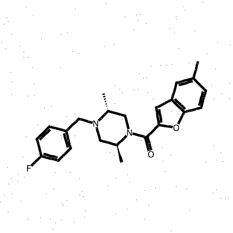 Cc1ccc2oc(C(=O)N3C[C@@H](C)N(Cc4ccc(F)cc4)C[C@@H]3C)cc2c1